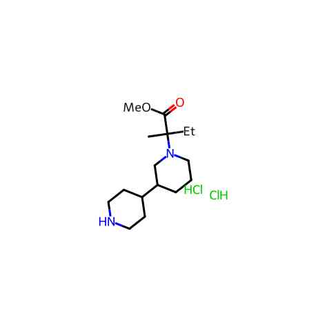 CCC(C)(C(=O)OC)N1CCCC(C2CCNCC2)C1.Cl.Cl